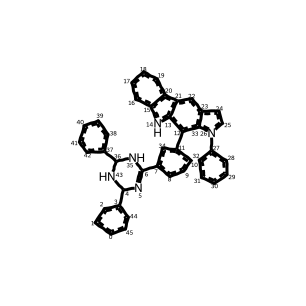 c1ccc(C2N=C(c3cccc(-c4c5[nH]c6ccccc6c5cc5ccn(-c6ccccc6)c45)c3)NC(c3ccccc3)N2)cc1